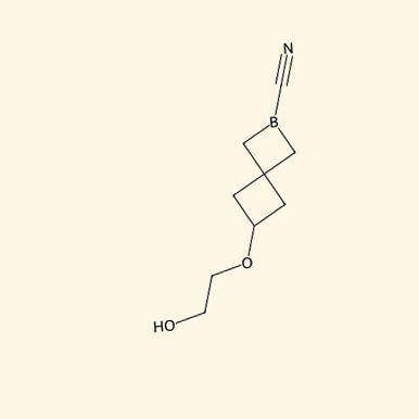 N#CB1CC2(C1)CC(OCCO)C2